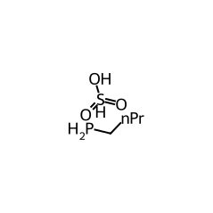 CCCCP.O=[SH](=O)O